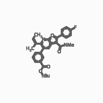 C/C=C(/C)c1nc2oc(-c3ccc(F)cc3)c(C(=O)NC)c2cc1-c1cccc(C(=O)OCCCC)c1